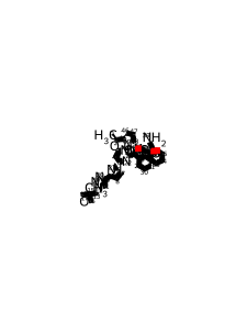 C[C@H](Oc1cc(-n2ccc(-c3cn(CC4(C)COC4)nn3)n2)nc(-c2noc3c2CCC[C@@]32CCCc3sc(N)c(C#N)c32)n1)[C@@H]1CCCN1C